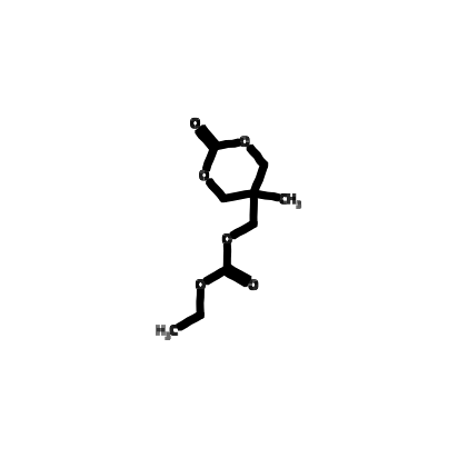 CCOC(=O)OCC1(C)COC(=O)OC1